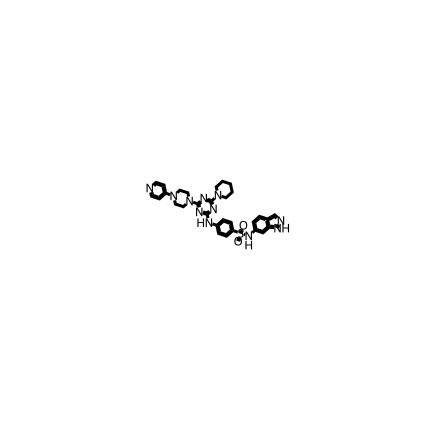 O=S(=O)(Nc1ccc2cn[nH]c2c1)c1ccc(Nc2nc(N3CCCCC3)nc(N3CCN(c4ccncc4)CC3)n2)cc1